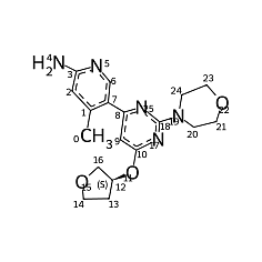 Cc1cc(N)ncc1-c1cc(O[C@H]2CCOC2)nc(N2CCOCC2)n1